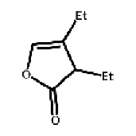 CCC1=COC(=O)C1CC